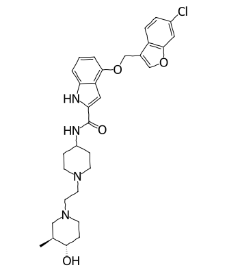 C[C@H]1CN(CCN2CCC(NC(=O)c3cc4c(OCc5coc6cc(Cl)ccc56)cccc4[nH]3)CC2)CC[C@@H]1O